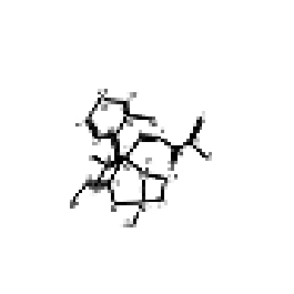 C=C(C)C(=C)/C=C\C(=C(C)C)N1CC[C@]1(C)CC(=C\C)/C=C(\C=C/C)C(/C)=C\C